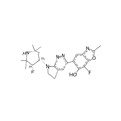 Cc1nc2cc(-c3cc4c(nn3)N([C@H]3CC(C)(C)NC(C)(C)[C@H]3F)CC4)c(O)c(F)c2o1